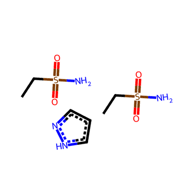 CCS(N)(=O)=O.CCS(N)(=O)=O.c1cn[nH]c1